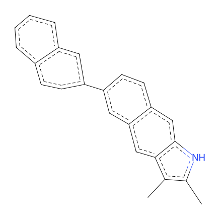 Cc1[nH]c2cc3ccc(-c4ccc5ccccc5c4)cc3cc2c1C